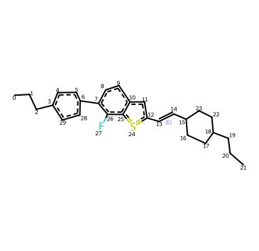 CCCc1ccc(-c2ccc3cc(/C=C/C4CCC(CCC)CC4)sc3c2F)cc1